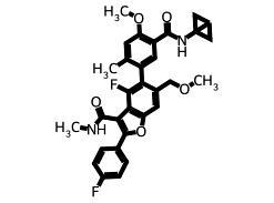 CNC(=O)c1c(-c2ccc(F)cc2)oc2cc(COC)c(-c3cc(C(=O)NC45CC4C5)c(OC)cc3C)c(F)c12